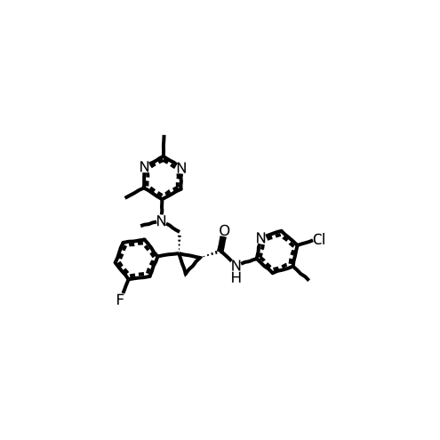 Cc1ncc(N(C)C[C@@]2(c3cccc(F)c3)C[C@H]2C(=O)Nc2cc(C)c(Cl)cn2)c(C)n1